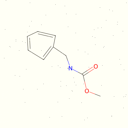 COC(=O)[N]Cc1ccccc1